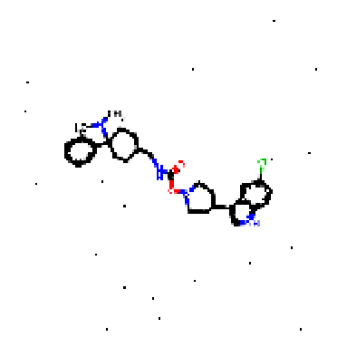 CN(C)C1(c2ccccc2)CCC(CNC(=O)ON2CCC(c3c[nH]c4ccc(Cl)cc34)CC2)CC1